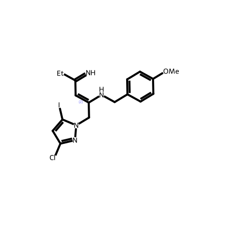 CCC(=N)/C=C(/Cn1nc(Cl)cc1I)NCc1ccc(OC)cc1